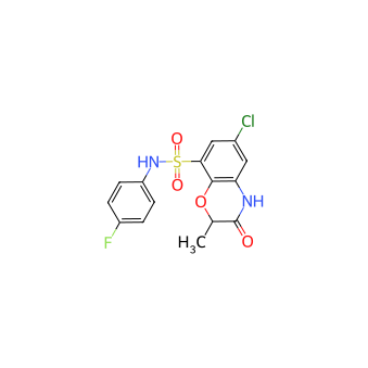 CC1Oc2c(cc(Cl)cc2S(=O)(=O)Nc2ccc(F)cc2)NC1=O